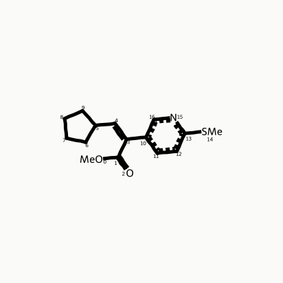 COC(=O)C(=CC1CCCC1)c1ccc(SC)nc1